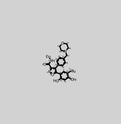 CCNC(=O)c1noc(-c2cc(C(C)CC)c(O)cc2O)c1-c1ccc(CN2CCOCC2)cc1